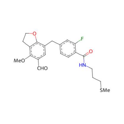 COc1c(C=O)cc(Cc2ccc(C(=O)NCCCSC)c(F)c2)c2c1CCO2